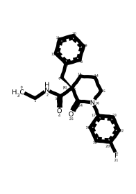 CCNC(=O)[C@]1(Cc2ccccc2)CCCN(c2ccc(F)cc2)C1=O